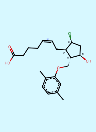 Cc1ccc(C)c(OC[C@@H]2[C@@H](C/C=C\CCCC(=O)O)[C@@H](Cl)C[C@H]2O)c1